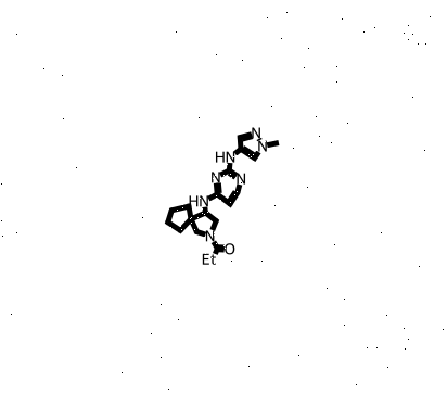 CCC(=O)N1CC(Nc2ccnc(Nc3cnn(C)c3)n2)C2(CCCC2)C1